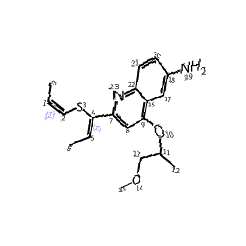 C/C=C\S/C(=C\C)c1cc(OC(C)COC)c2cc(N)ccc2n1